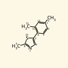 Cc1ccc(-c2cnc(C)s2)c(C)c1